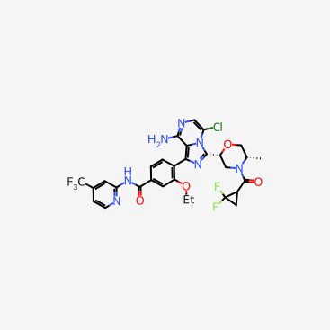 CCOc1cc(C(=O)Nc2cc(C(F)(F)F)ccn2)ccc1-c1nc([C@H]2CN(C(=O)C3CC3(F)F)[C@@H](C)CO2)n2c(Cl)cnc(N)c12